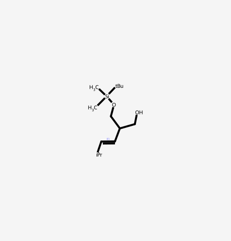 CC(C)/C=C/C(CO)CO[Si](C)(C)C(C)(C)C